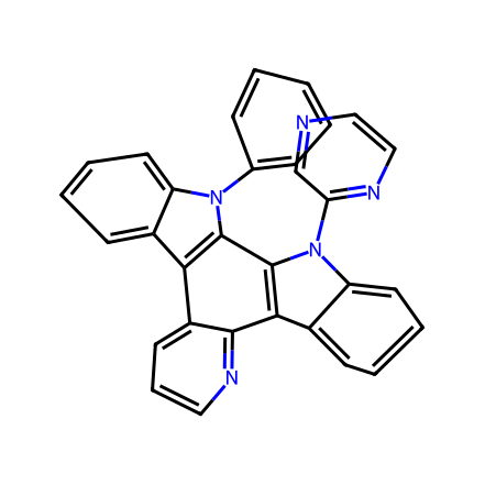 c1ccc(-n2c3ccccc3c3c4cccnc4c4c5ccccc5n(-c5cnccn5)c4c32)cc1